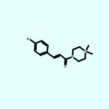 C[N+]1(C)CCN(C(=O)/C=C/c2ccc(Br)cc2)CC1